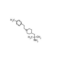 Cc1[c]cc(CCN2CCC(CC(C)(C)N)CC2)cc1